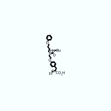 CCOC(Cc1ccc(OCCN(CCCCOc2ccccc2)C(=O)NC(C)CC)cc1)C(=O)O